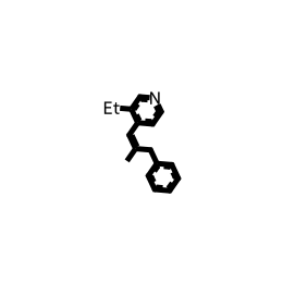 CCc1cnccc1C=C(C)Cc1ccccc1